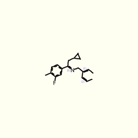 C/C=C\C(=C/C)C/N=C(\CC1CC1)c1ccc(C)c(F)c1